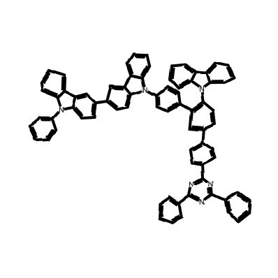 c1ccc(-c2nc(-c3ccccc3)nc(-c3ccc(-c4ccc(-n5c6ccccc6c6ccccc65)c(-c5ccc(-n6c7ccccc7c7cc(-c8ccc9c(c8)c8ccccc8n9-c8ccccc8)ccc76)cc5)c4)cc3)n2)cc1